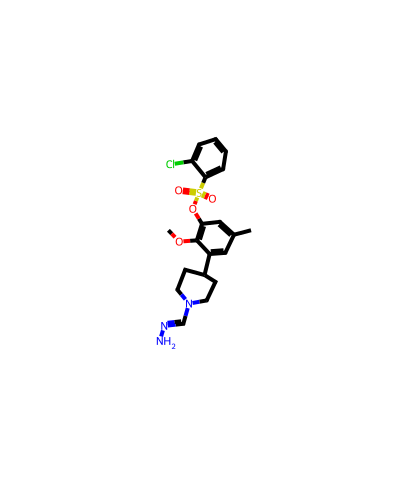 COc1c(OS(=O)(=O)c2ccccc2Cl)cc(C)cc1C1CCN(C=NN)CC1